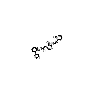 O=C(Cn1ccnc(NCC(F)(F)c2cccc[n+]2[O-])c1=O)NCc1ccccc1-n1cncn1